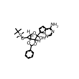 CC(C)(C)[Si](C)(C)OC1[C@H]2OC(O)(c3ccc4c(N)ncnn34)[C@@H]3OC(c4ccccc4)O[C@]123